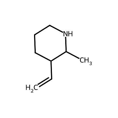 C=CC1CCCNC1C